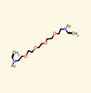 C=CN(CCOCCOCCOCCOCCN(C=C)C(C)=O)C(C)=O